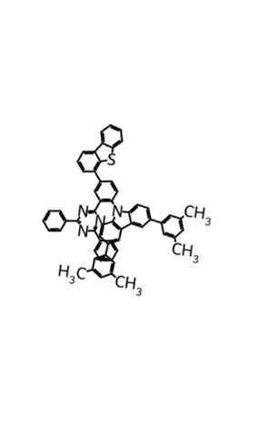 Cc1cc(C)cc(-c2ccc3c(c2)c2cc(-c4cc(C)cc(C)c4)ccc2n3-c2ccc(-c3cccc4c3sc3ccccc34)cc2-c2nc(-c3ccccc3)nc(-c3ccccc3)n2)c1